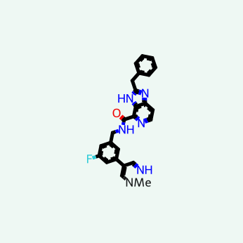 CN/C=C(\C=N)c1cc(F)cc(CNC(=O)c2nccc3nc(Cc4ccccc4)[nH]c23)c1